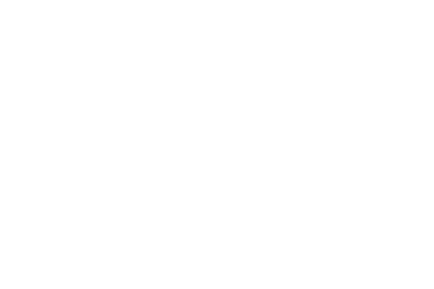 COc1ccc(C#Cc2cccc(C)n2)cc1C(F)(F)F